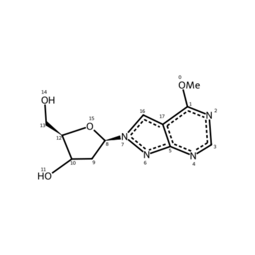 COc1ncnc2nn([C@H]3CC(O)[C@@H](CO)O3)cc12